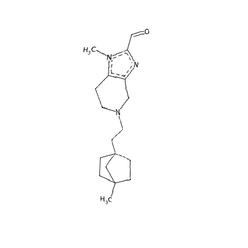 Cn1c(C=O)nc2c1CCN(CCC13CCC(C)(CC1)C3)C2